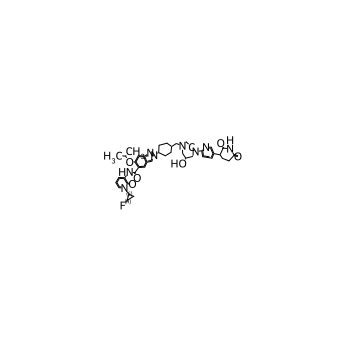 CC(C)Oc1cc2nn(C3CCC(CN4CCN(c5ccc(C6CCC(=O)NC6=O)cn5)CC(O)C4)CC3)cc2cc1C(=O)Nc1cccn([C@H]2C[C@H]2F)c1=O